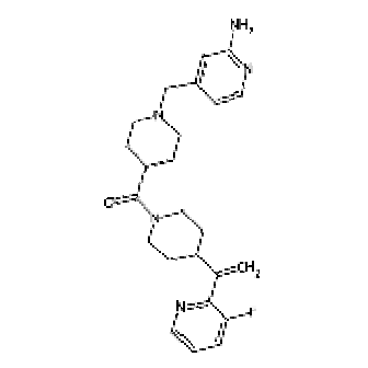 C=C(c1ncccc1F)C1CCN(C(=O)C2CCN(Cc3ccnc(N)c3)CC2)CC1